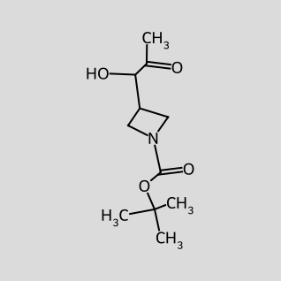 CC(=O)C(O)C1CN(C(=O)OC(C)(C)C)C1